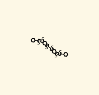 c1ccc(-c2cc3sc4cc5cc(-c6cc7cc8sc9cc(-c%10ccccc%10)sc9c8cc7s6)sc5cc4c3s2)cc1